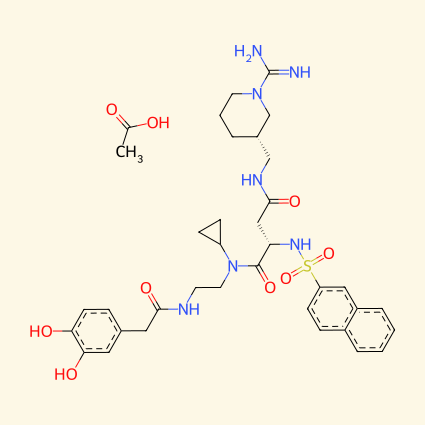 CC(=O)O.N=C(N)N1CCC[C@@H](CNC(=O)C[C@H](NS(=O)(=O)c2ccc3ccccc3c2)C(=O)N(CCNC(=O)Cc2ccc(O)c(O)c2)C2CC2)C1